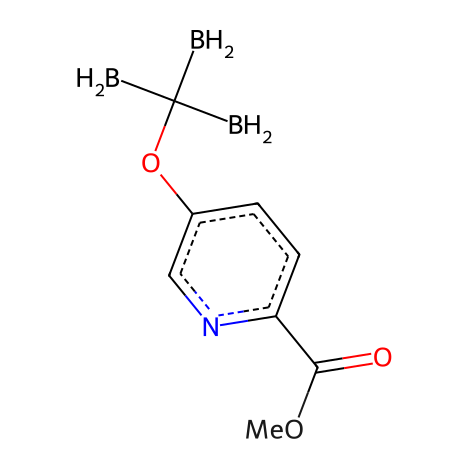 BC(B)(B)Oc1ccc(C(=O)OC)nc1